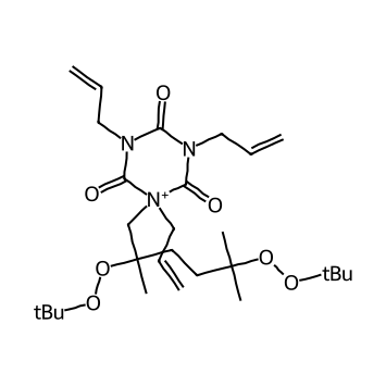 C=CCN1C(=O)N(CC=C)C(=O)[N+](CC=C)(CC(C)(CCC(C)(C)OOC(C)(C)C)OOC(C)(C)C)C1=O